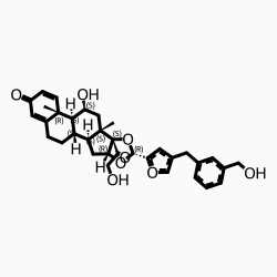 C[C@]12C=CC(=O)C=C1CC[C@@H]1[C@@H]2[C@@H](O)C[C@@]2(C)[C@H]1C[C@H]1O[C@@H](c3cc(Cc4cccc(CO)c4)co3)O[C@]12C(=O)CO